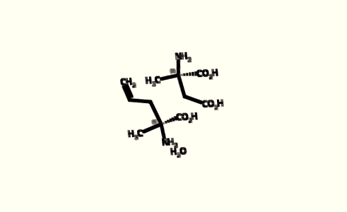 C=CC[C@](C)(N)C(=O)O.C[C@@](N)(CC(=O)O)C(=O)O.O